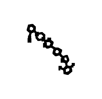 N#Cc1ccccc1N1CCN(c2ncc(-c3ccc(C4CCC(c5c(F)cccc5F)=N4)cc3)cn2)CC1